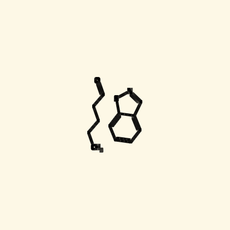 CCCCC=O.c1ccc2sncc2c1